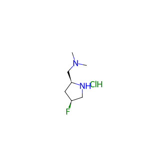 CN(C)C[C@@H]1C[C@H](F)CN1.Cl